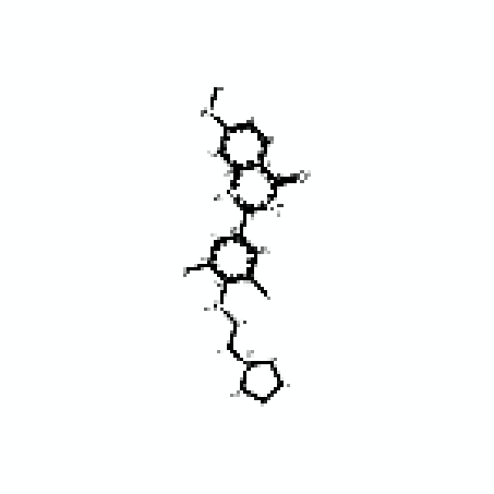 COc1ccc2c(=O)[nH]c(-c3cc(C)c(OCCN4CCCC4)c(C)c3)nc2c1